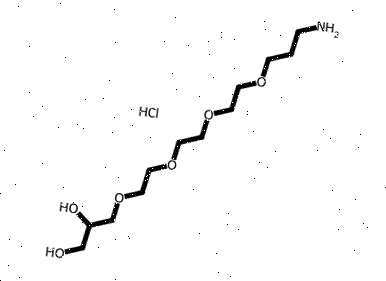 Cl.NCCCOCCOCCOCCOCC(O)CO